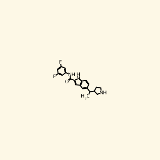 CC(c1ccc2[nH]c(C(=O)Nc3cc(F)cc(F)c3)cc2c1)C1CCNC1